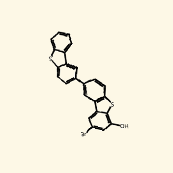 Oc1cc(Br)cc2c1sc1ccc(-c3ccc4sc5ccccc5c4c3)cc12